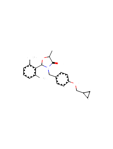 COc1cccc(OC)c1C1OC(C)C(=O)N1Cc1ccc(OCC2CC2)cc1